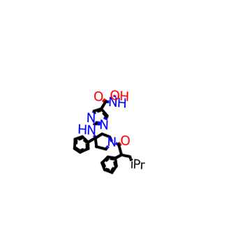 CC(C)CC(C(=O)N1CCC(Nc2ncc(C(=O)NO)cn2)(c2ccccc2)CC1)c1ccccc1